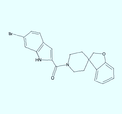 O=C(c1cc2ccc(Br)cc2[nH]1)N1CCC2(CC1)COc1ccccc12